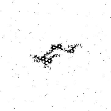 NCCC(O)c1cccc(OCCOCc2cccc(-c3cccc(COCCCOc4cc(C(O)CCN)cc(C(CCN)c5cccc(OCCO)c5)c4)c3)c2)c1